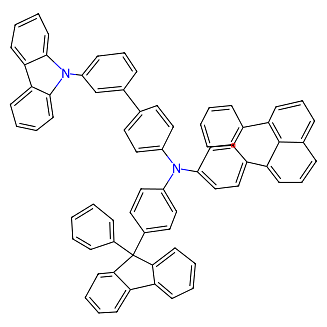 c1ccc(-c2cccc3cccc(-c4ccc(N(c5ccc(-c6cccc(-n7c8ccccc8c8ccccc87)c6)cc5)c5ccc(C6(c7ccccc7)c7ccccc7-c7ccccc76)cc5)cc4)c23)cc1